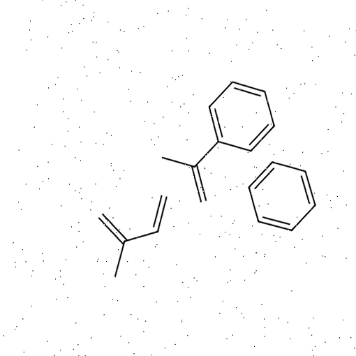 C=C(C)c1ccccc1.C=CC(=C)C.c1ccccc1